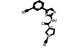 N#Cc1cccc(-c2cnc(NC(=O)[C@H]3CCN(C#N)C3)s2)c1